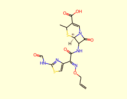 C=CCON=C(C(=O)NC1C(=O)N2C=C(C(=O)O)C(C)S[C@H]12)c1csc(NC=O)n1